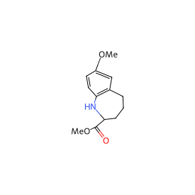 COC(=O)C1CCCc2cc(OC)ccc2N1